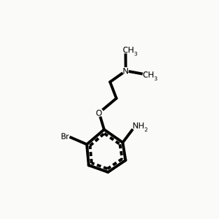 CN(C)CCOc1c(N)cccc1Br